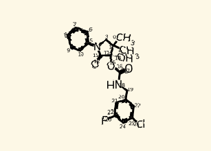 CC1(C)CN(c2ccccc2)C(=O)[C@]1(O)OC(=O)NCc1cc(F)cc(Cl)c1